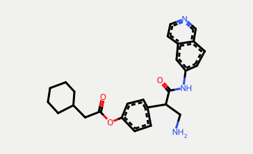 NCC(C(=O)Nc1ccc2cnccc2c1)c1ccc(OC(=O)CC2CCCCC2)cc1